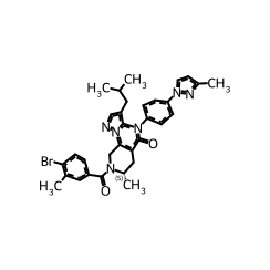 Cc1ccn(-c2ccc(-n3c(=O)c4c(n5ncc(CC(C)C)c35)CN(C(=O)c3ccc(Br)c(C)c3)[C@@H](C)C4)cc2)n1